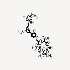 C[n+]1cc(-c2ccc(OCC(ON=C(C(=O)O)c3csc(NC(=O)OC(C)(C)C)n3)C(=O)OC(C)(C)C)cc2Cl)cn1CCCNC(=O)OC(C)(C)C